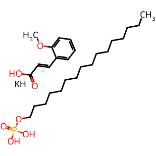 CCCCCCCCCCCCCCCCOP(=O)(O)O.COc1ccccc1/C=C/C(=O)O.[KH]